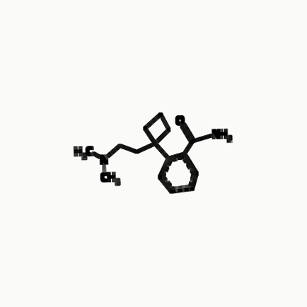 CN(C)CCC1(c2ccccc2C(N)=O)CCC1